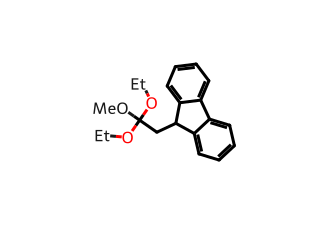 CCOC(CC1c2ccccc2-c2ccccc21)(OC)OCC